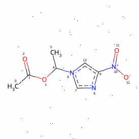 CC(=O)OC(C)n1cnc([N+](=O)[O-])c1